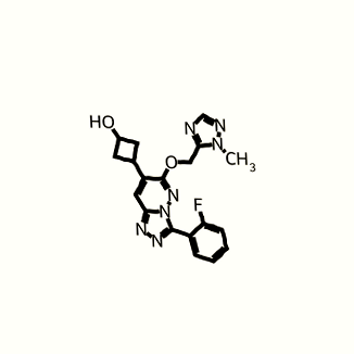 Cn1ncnc1COc1nn2c(-c3ccccc3F)nnc2cc1C1CC(O)C1